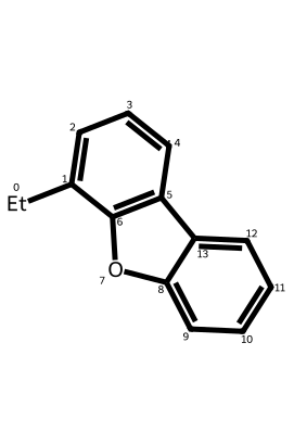 CCc1cc[c]c2c1oc1ccccc12